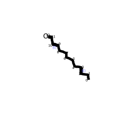 CC/C=C/CCCCC/C=C/C=O